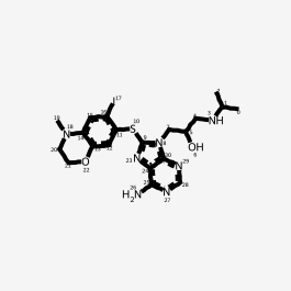 CC(C)NCC(O)Cn1c(Sc2cc3c(cc2I)N(C)CCO3)nc2c(N)ncnc21